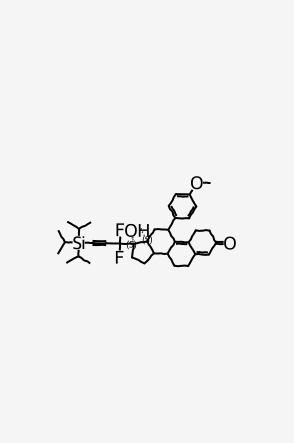 COc1ccc(C2C[C@@]3(C)C(CC[C@@]3(O)C(F)(F)C#C[Si](C(C)C)(C(C)C)C(C)C)C3CCC4=CC(=O)CCC4=C23)cc1